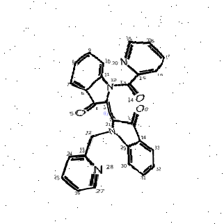 O=C1/C(=C2/C(=O)c3ccccc3N2C(=O)c2ccccn2)N(Cc2ccccn2)c2ccccc21